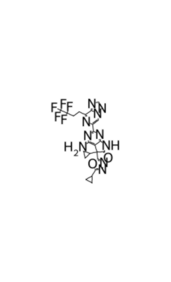 Nc1nc(-c2cn3ncnc3c(CCC(F)(F)C(F)(F)F)n2)nc2c1C(c1nnc(C3CC3)o1)(C1CC1)C(=O)N2